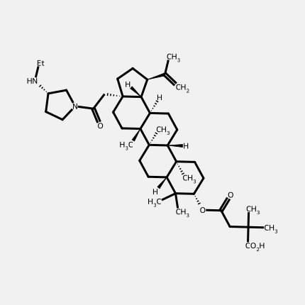 C=C(C)[C@@H]1CC[C@]2(CC(=O)N3CC[C@H](NCC)C3)CC[C@]3(C)[C@H](CC[C@@H]4[C@@]5(C)CC[C@H](OC(=O)CC(C)(C)C(=O)O)C(C)(C)[C@@H]5CC[C@]43C)[C@@H]12